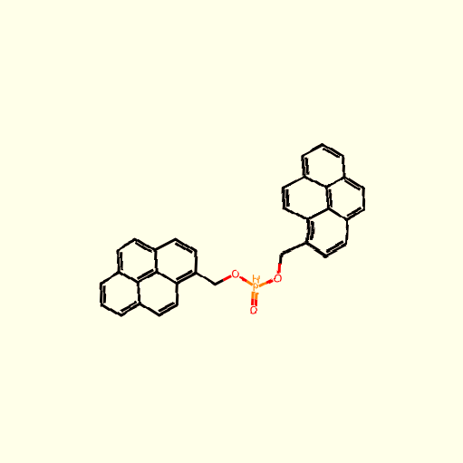 O=[PH](OCc1ccc2ccc3cccc4ccc1c2c34)OCc1ccc2ccc3cccc4ccc1c2c34